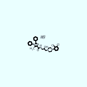 Cc1c(C(=O)NCC(O)CN2CCN(c3cccc(Cl)c3Cl)CC2)nc(-c2ccccc2)n1-c1ccccc1.Cl.Cl